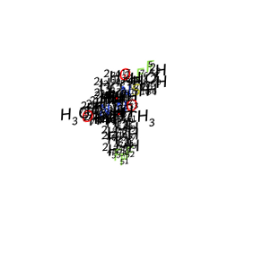 [2H]c1c([2H])c(F)c(F)c(C([2H])([2H])Sc2c([2H])c(=O)c3c([2H])c([2H])c([2H])c([2H])c3n2C([2H])([2H])C(=O)N(C([2H])([2H])c2c([2H])c([2H])c(-c3c([2H])c([2H])c(C(F)(F)F)c([2H])c3[2H])c([2H])c2C)C2([2H])C([2H])([2H])C([2H])([2H])N(C([2H])([2H])C([2H])([2H])OC)C([2H])([2H])C2([2H])[2H])c1[2H]